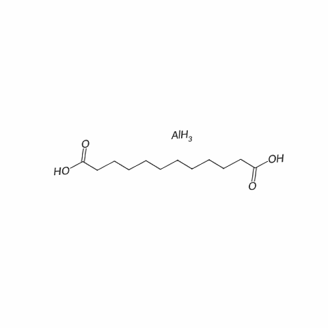 O=C(O)CCCCCCCCCCC(=O)O.[AlH3]